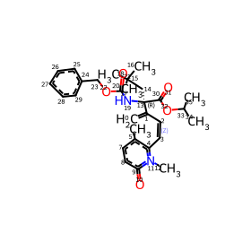 C=C(/C=C\c1c(C)ccc(=O)n1C)[C@@](CC(C)(C)C)(NC(=O)OCc1ccccc1)C(=O)OC(C)C